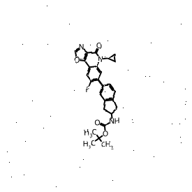 CC(C)(C)OC(=O)NC1Cc2ccc(-c3cc4c(cc3F)c3ocnc3c(=O)n4C3CC3)cc2C1